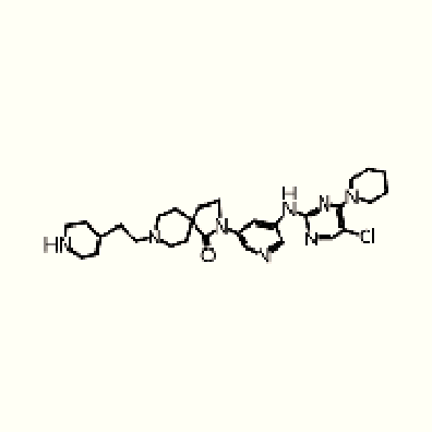 O=C1N(c2cncc(Nc3ncc(Cl)c(N4CCCCC4)n3)c2)CCC12CCN(CCC1CCNCC1)CC2